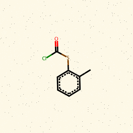 Cc1ccccc1SC(=O)Cl